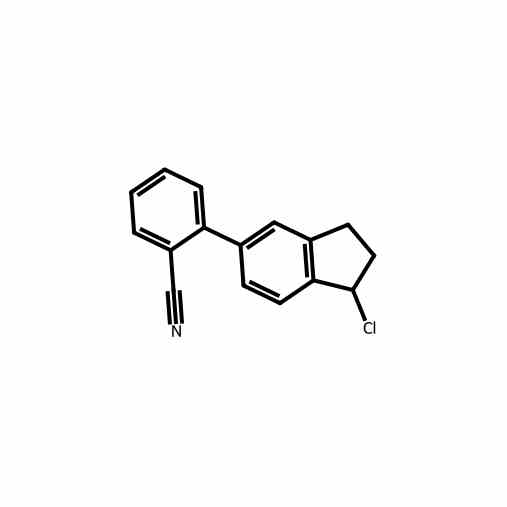 N#Cc1ccccc1-c1ccc2c(c1)CCC2Cl